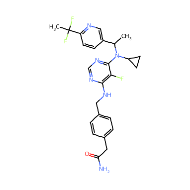 CC(c1ccc(C(C)(F)F)nc1)N(c1ncnc(NCc2ccc(CC(N)=O)cc2)c1F)C1CC1